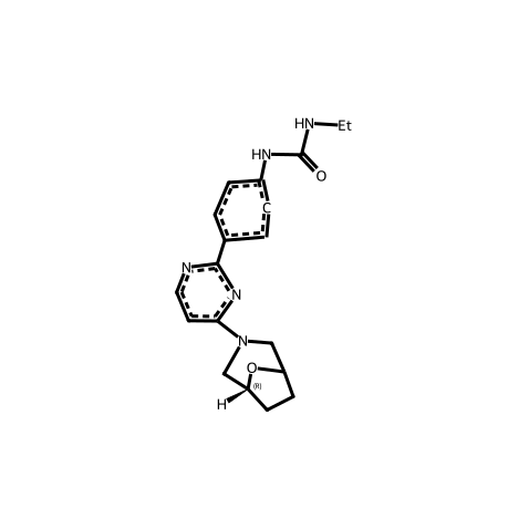 CCNC(=O)Nc1ccc(-c2nccc(N3CC4CC[C@H](C3)O4)n2)cc1